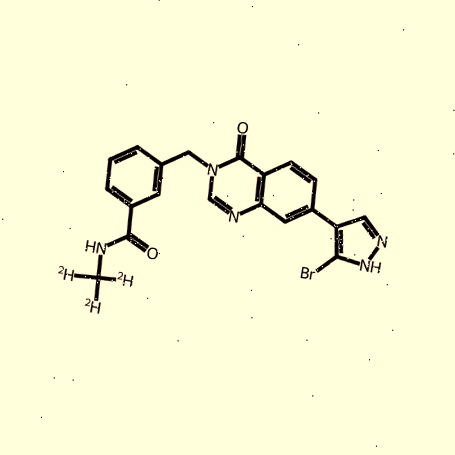 [2H]C([2H])([2H])NC(=O)c1cccc(Cn2cnc3cc(-c4cn[nH]c4Br)ccc3c2=O)c1